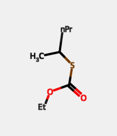 CCCC(C)SC(=O)OCC